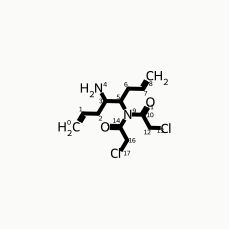 C=CCC(N)C(CC=C)N(C(=O)CCl)C(=O)CCl